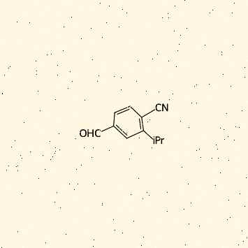 CC(C)c1cc(C=O)ccc1C#N